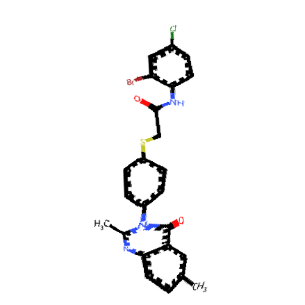 Cc1ccc2nc(C)n(-c3ccc(SCC(=O)Nc4ccc(Cl)cc4Br)cc3)c(=O)c2c1